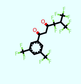 O=C(CC(=O)C(F)(F)C(C(F)(F)F)C(F)(F)F)c1cc(C(F)(F)F)cc(C(F)(F)F)c1